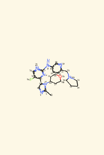 Cc1ncc(-c2nc(Nc3ccc(CN4CCCC4)nc3)ncc2F)n1C1CCOCC1